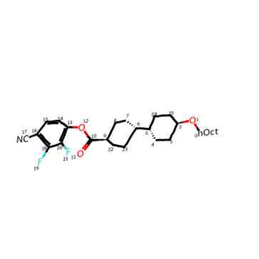 CCCCCCCCO[C@H]1CC[C@H]([C@H]2CC[C@H](C(=O)Oc3ccc(C#N)c(F)c3F)CC2)CC1